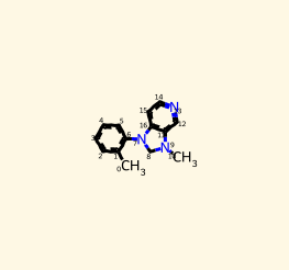 Cc1ccccc1N1CN(C)c2cnccc21